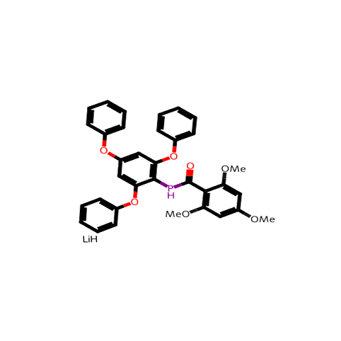 COc1cc(OC)c(C(=O)Pc2c(Oc3ccccc3)cc(Oc3ccccc3)cc2Oc2ccccc2)c(OC)c1.[LiH]